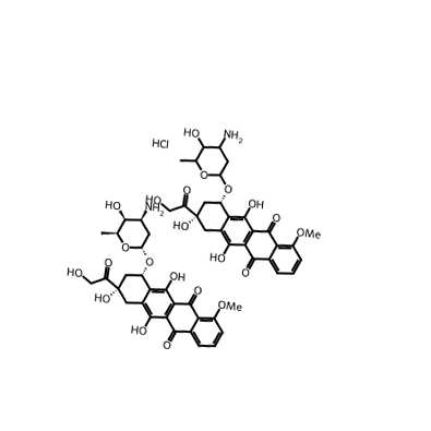 COc1cccc2c1C(=O)c1c(O)c3c(c(O)c1C2=O)C[C@@](O)(C(=O)CO)C[C@@H]3OC1CC(N)C(O)C(C)O1.COc1cccc2c1C(=O)c1c(O)c3c(c(O)c1C2=O)C[C@@](O)(C(=O)CO)C[C@@H]3O[C@H]1C[C@H](N)[C@H](O)[C@H](C)O1.Cl